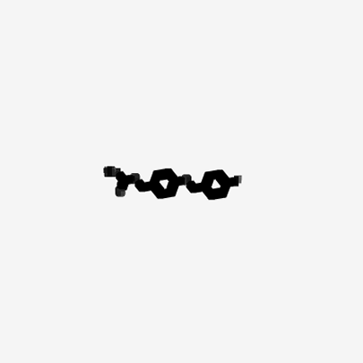 CC(C)(C)C(=O)OCc1ccc(OCc2ccc(F)cc2)cc1